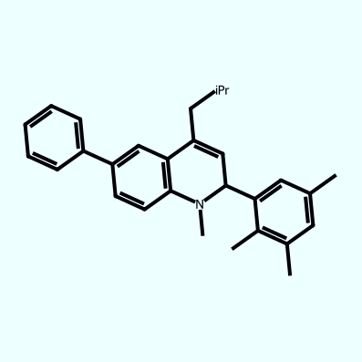 Cc1cc(C)c(C)c(C2C=C(CC(C)C)c3cc(-c4ccccc4)ccc3N2C)c1